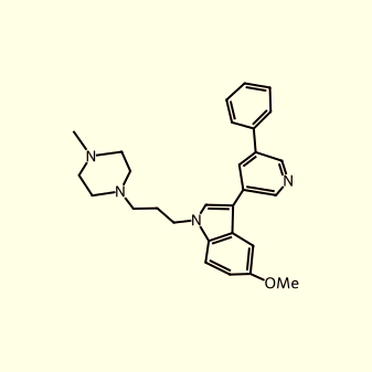 COc1ccc2c(c1)c(-c1cncc(-c3ccccc3)c1)cn2CCCN1CCN(C)CC1